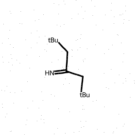 CC(C)(C)CC(=N)CC(C)(C)C